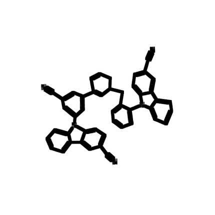 N#Cc1cc(C2=CC(Cc3ccccc3-n3c4ccccc4c4cc(C#N)ccc43)CC=C2)cc(-n2c3ccccc3c3cc(C#N)ccc32)c1